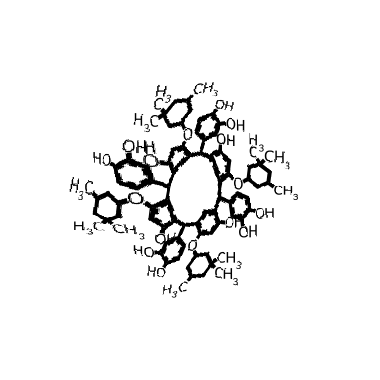 CC1CC(Oc2cc(O)c3cc2C(c2ccc(O)c(O)c2)c2cc(c(OC4CC(C)CC(C)(C)C4)cc2O)C(c2ccc(O)c(O)c2)c2cc(c(OC4CC(C)CC(C)(C)C4)cc2O)C(c2ccc(O)c(O)c2)c2cc(c(OC4CC(C)CC(C)(C)C4)cc2O)C3c2ccc(O)c(O)c2)CC(C)(C)C1